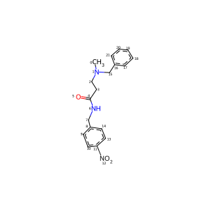 CN(CCC(=O)NCc1ccc([N+](=O)[O-])cc1)Cc1ccccc1